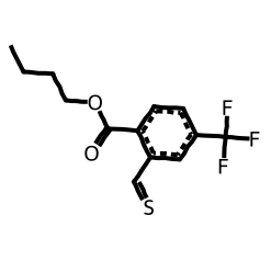 CCCCOC(=O)c1ccc(C(F)(F)F)cc1C=S